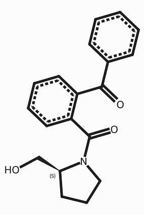 O=C(c1ccccc1)c1ccccc1C(=O)N1CCC[C@H]1CO